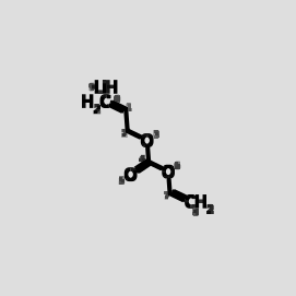 C=CCOC(=O)OC=C.[LiH]